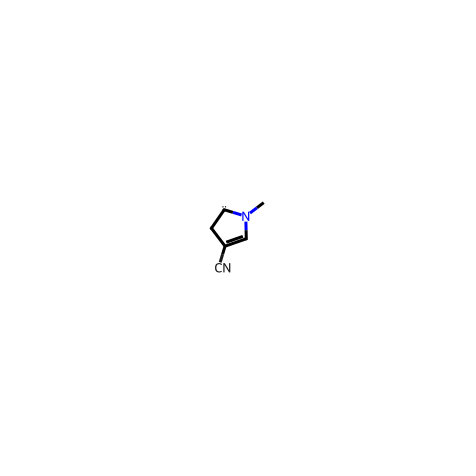 CN1[C]CC(C#N)=C1